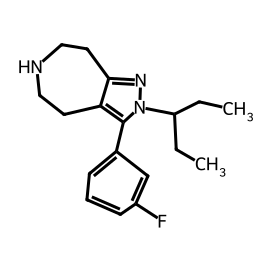 CCC(CC)n1nc2c(c1-c1cccc(F)c1)CCNCC2